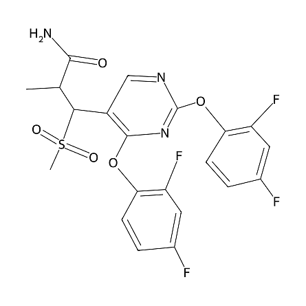 CC(C(N)=O)C(c1cnc(Oc2ccc(F)cc2F)nc1Oc1ccc(F)cc1F)S(C)(=O)=O